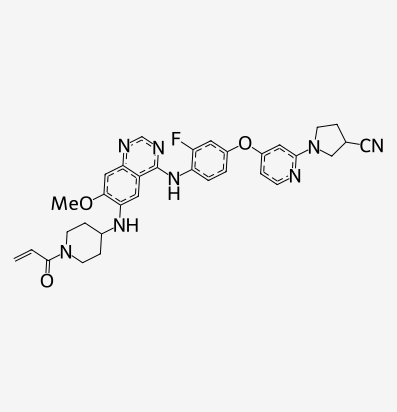 C=CC(=O)N1CCC(Nc2cc3c(Nc4ccc(Oc5ccnc(N6CCC(C#N)C6)c5)cc4F)ncnc3cc2OC)CC1